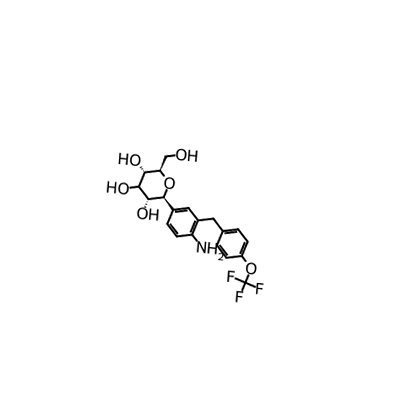 Nc1ccc([C@@H]2O[C@H](CO)[C@@H](O)C(O)[C@H]2O)cc1Cc1ccc(OC(F)(F)F)cc1